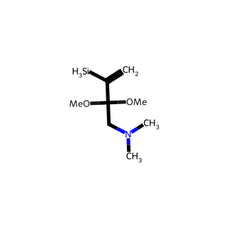 C=C([SiH3])C(CN(C)C)(OC)OC